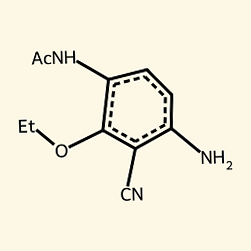 CCOc1c(NC(C)=O)ccc(N)c1C#N